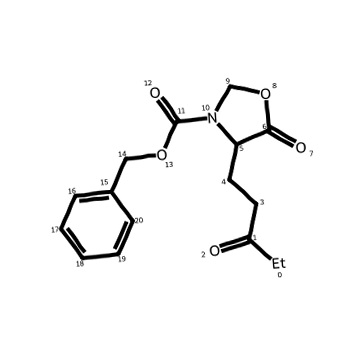 CCC(=O)CCC1C(=O)OCN1C(=O)OCc1ccccc1